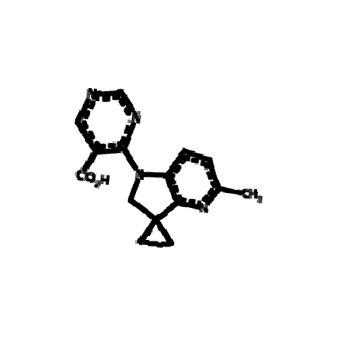 Cc1ccc2c(n1)C1(CC1)CN2c1ncncc1C(=O)O